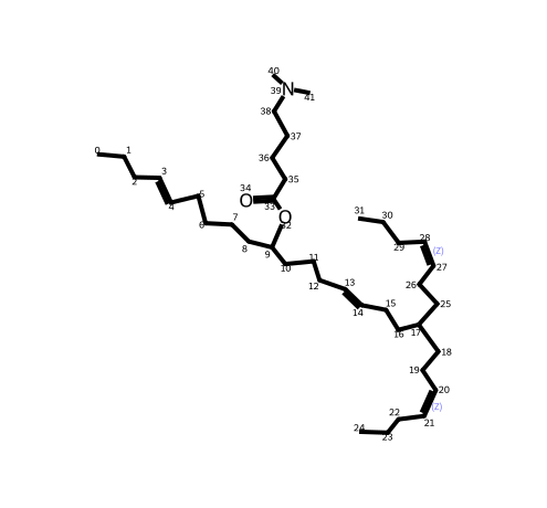 CCCC=CCCCCC(CCCC=CCCC(CC/C=C\CCC)CC/C=C\CCC)OC(=O)CCCCN(C)C